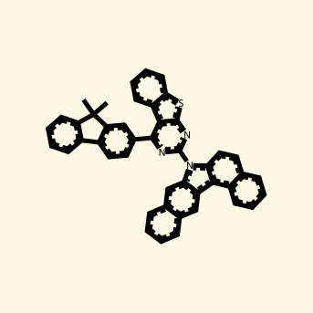 CC1(C)c2ccccc2-c2ccc(-c3nc(-n4c5cc6ccccc6cc5c5c6ccccc6ccc54)nc4sc5ccccc5c34)cc21